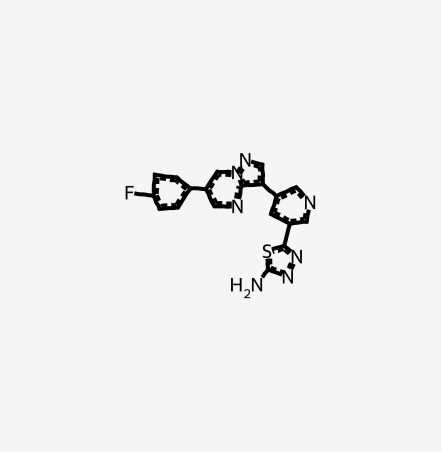 Nc1nnc(-c2cncc(-c3cnn4cc(-c5ccc(F)cc5)cnc34)c2)s1